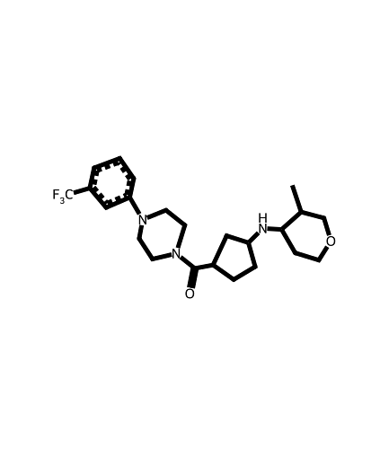 CC1COCCC1NC1CCC(C(=O)N2CCN(c3cccc(C(F)(F)F)c3)CC2)C1